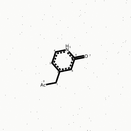 CC(=O)Cc1cc[nH]c(=O)c1